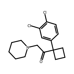 O=C(CN1CCCCC1)C1(c2ccc(Cl)c(Cl)c2)CCC1